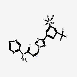 NN(C(=O)/C=C\n1cnc(-c2cc(C(F)(F)F)cc(S(F)(F)(F)(F)F)c2)n1)c1cnccn1